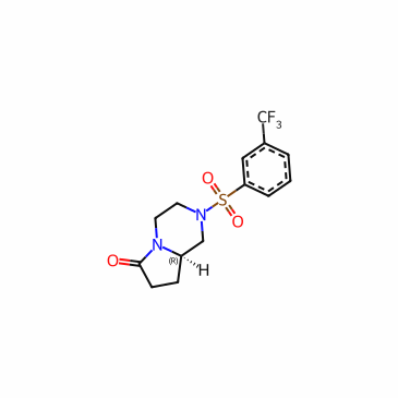 O=C1CC[C@@H]2CN(S(=O)(=O)c3cccc(C(F)(F)F)c3)CCN12